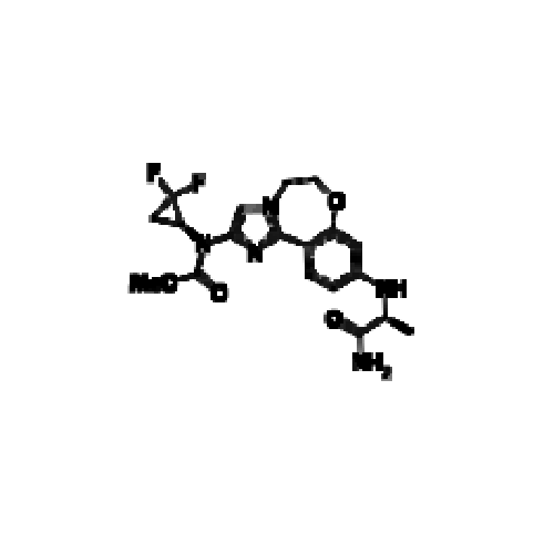 COC(=O)N(c1cn2c(n1)-c1ccc(N[C@@H](C)C(N)=O)cc1OCC2)[C@H]1CC1(F)F